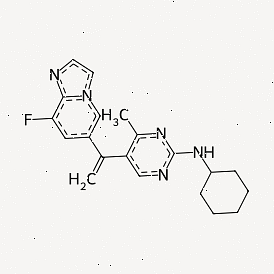 C=C(c1cc(F)c2nccn2c1)c1cnc(NC2CCCCC2)nc1C